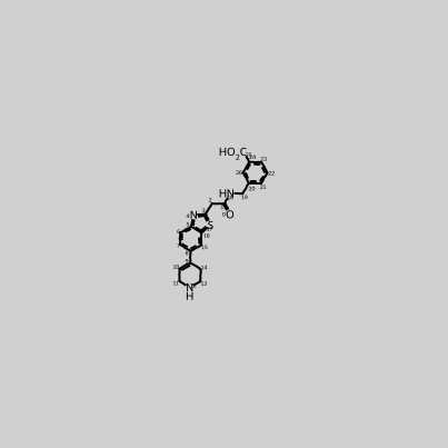 O=C(Cc1nc2ccc(C3=CCNCC3)cc2s1)NCc1cccc(C(=O)O)c1